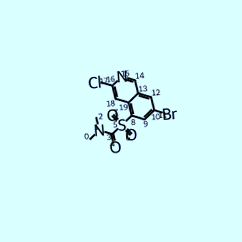 CN(C)C(=O)S(=O)(=O)c1cc(Br)cc2cnc(Cl)cc12